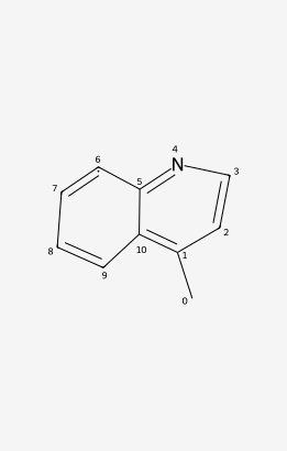 Cc1ccnc2[c]cccc12